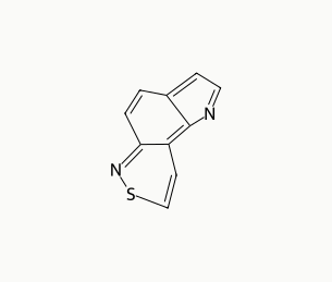 c1cc2ccc3nsccc3c2n1